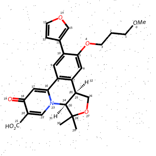 COCCCOc1cc2c(cc1-c1ccoc1)-c1cc(=O)c(C(=O)O)cn1[C@H]1[C@@H]2COC1(C)C